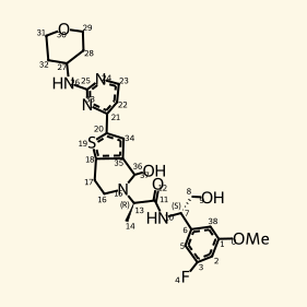 COc1cc(F)cc([C@@H](CO)NC(=O)[C@@H](C)N2CCc3sc(-c4ccnc(NC5CCOCC5)n4)cc3C2O)c1